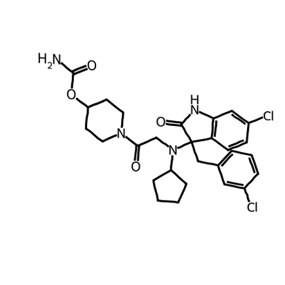 NC(=O)OC1CCN(C(=O)CN(C2CCCC2)C2(Cc3cccc(Cl)c3)C(=O)Nc3cc(Cl)ccc32)CC1